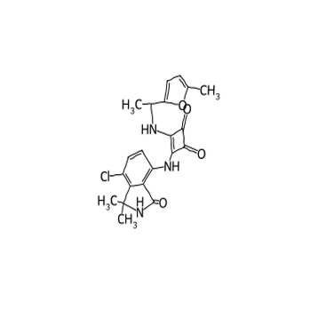 Cc1ccc(C(C)Nc2c(Nc3ccc(Cl)c4c3C(=O)NC4(C)C)c(=O)c2=O)o1